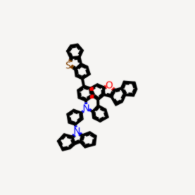 c1cc(N(c2ccc(-c3ccc4c(c3)sc3ccccc34)cc2)c2ccccc2-c2cccc3oc4c5ccccc5ccc4c23)cc(-n2c3ccccc3c3ccccc32)c1